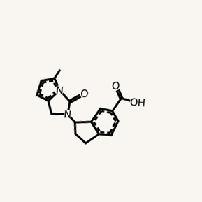 Cc1ccc2n1C(=O)N(C1CCc3ccc(C(=O)O)cc31)C2